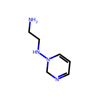 NCCNN1C=CC=NC1